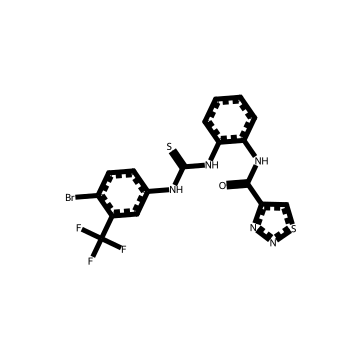 O=C(Nc1ccccc1NC(=S)Nc1ccc(Br)c(C(F)(F)F)c1)c1csnn1